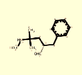 CC(C)(C[C@@H](C=O)Cc1ccccc1)NC(=O)O